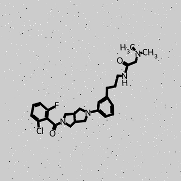 CN(C)CC(=O)NCCCc1cccc(N2CC3CN(C(=O)c4c(F)cccc4Cl)CC3C2)c1